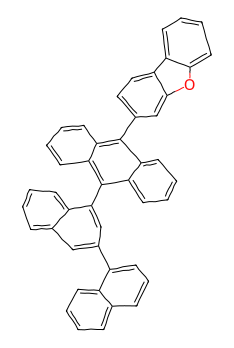 c1ccc2c(-c3cc(-c4c5ccccc5c(-c5ccc6c(c5)oc5ccccc56)c5ccccc45)c4ccccc4c3)cccc2c1